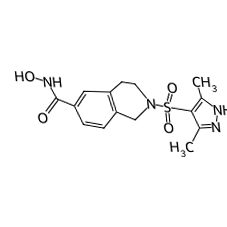 Cc1n[nH]c(C)c1S(=O)(=O)N1CCc2cc(C(=O)NO)ccc2C1